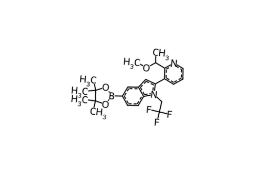 COC(C)c1ncccc1-c1cc2cc(B3OC(C)(C)C(C)(C)O3)ccc2n1CC(F)(F)F